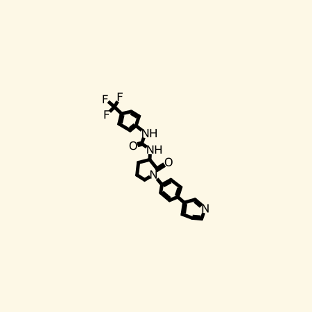 O=C(Nc1ccc(C(F)(F)F)cc1)NC1CCCN(c2ccc(-c3cccnc3)cc2)C1=O